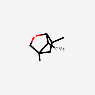 COC1C2OCC1(C)CC2C